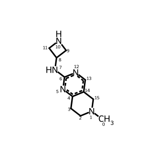 CN1CCc2nc(NC3CNC3)ncc2C1